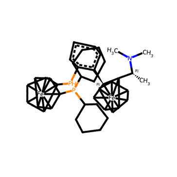 C[C@@H](N(C)C)[C]12[CH]3[CH]4[CH]5[C@@]1(c1ccccc1P[C]16[CH]7[CH]8[CH]9[CH]1[Fe]89761%10%11%12[CH]6[CH]1[CH]%10[C]%11(P(C1CCCCC1)C1CCCCC1)[CH]6%12)[Fe]43521678[CH]2[CH]1[CH]6[CH]7[CH]28